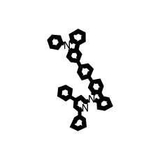 c1ccc(-c2cc(-c3ccccc3)nc(-n3c4ccccc4c4ccc(-c5ccc(-c6ccc7c(c6)c6ccccc6n7-c6ccccc6)cc5)cc43)c2)cc1